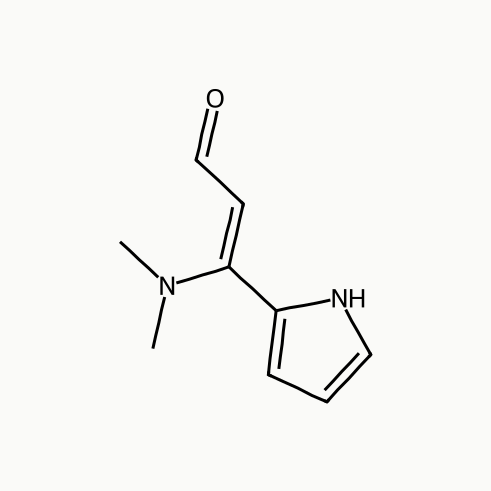 CN(C)C(=CC=O)c1ccc[nH]1